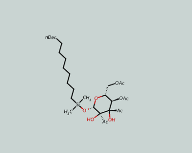 CCCCCCCCCCCCCCCCCC[Si](C)(C)O[C@@H]1O[C@H](COC(C)=O)[C@@H](OC(C)=O)[C@@](O)(C(C)=O)[C@]1(O)C(C)=O